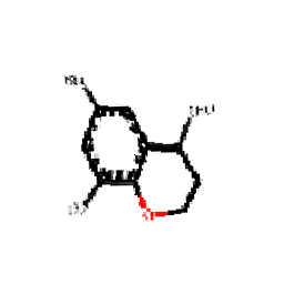 CC(C)(C)c1cc2c(c(C(C)(C)C)c1)OCCC2C=O